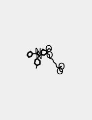 COC(=O)CCCCCOc1cc2c(cc1OC)nc(-c1ccccc1)n2-c1ccc(C)cc1